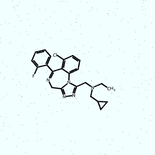 CCN(Cc1nnc2n1-c1cccc(Cl)c1C(c1ccccc1F)=NC2)CC1CC1